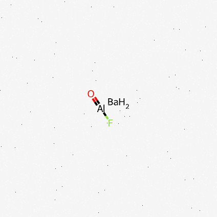 [BaH2].[O]=[Al][F]